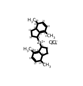 CC1=C2[CH]([Zr+2][CH]3CCC4C3=C(C)C=CC4C)CCC2C(C)C=C1.[Cl-].[Cl-]